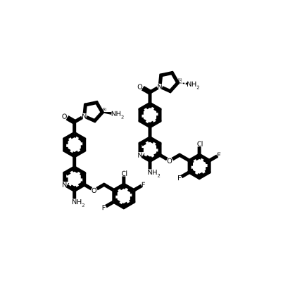 Nc1ncc(-c2ccc(C(=O)N3CC[C@@H](N)C3)cc2)cc1OCc1c(F)ccc(F)c1Cl.Nc1ncc(-c2ccc(C(=O)N3CC[C@H](N)C3)cc2)cc1OCc1c(F)ccc(F)c1Cl